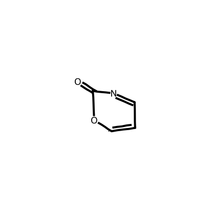 O=c1ncc[c]o1